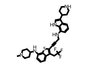 CN1CCC(Nc2cccc3c(CC(F)(F)F)c(C#CCNc4cccc5c(C6CCNCC6)c[nH]c45)sc23)CC1